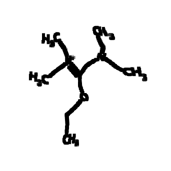 CCOC(N(C)C)=[N+](C)C